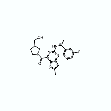 Cc1cc2nc(N[C@@H](C)c3cncc(F)c3)nc(C(=O)N3CCC(CO)C3)c2s1